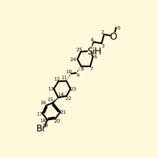 COCCC[Si@H]1CC[C@H](CC[C@H]2CC[C@H](c3ccc(Br)cc3)CC2)CC1